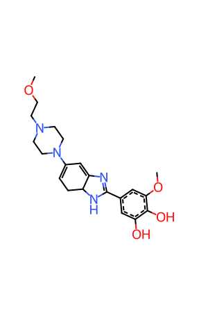 COCCN1CCN(C2=CCC3NC(c4cc(O)c(O)c(OC)c4)=NC3=C2)CC1